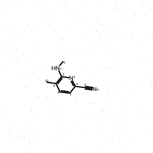 CNc1nc(C#N)ccc1C